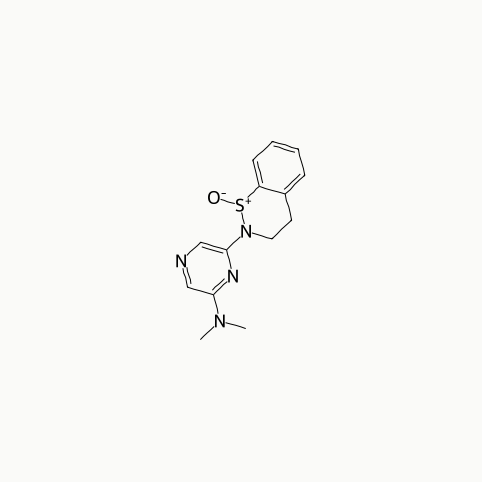 CN(C)c1cncc(N2CCc3ccccc3[S+]2[O-])n1